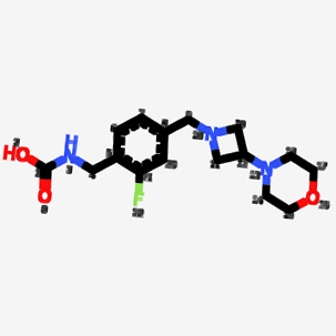 O=C(O)NCc1ccc(CN2CC(N3CCOCC3)C2)cc1F